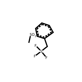 CS(=O)(=O)O.FS(F)(F)Cc1ccccc1